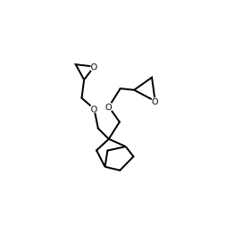 C1CC2CC1CC2(COCC1CO1)COCC1CO1